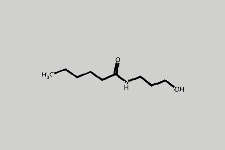 CCCCCC(=O)NCCCO